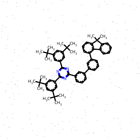 CC(C)(C)c1cc(-c2nc(-c3cccc(-c4cccc(-c5cccc6c5-c5ccccc5C6(C)C)c4)c3)nc(-c3cc(C(C)(C)C)cc(C(C)(C)C)c3)n2)cc(C(C)(C)C)c1